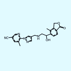 Cc1cc(C#N)cnc1-n1cc(CNCC(O)c2ccc3c(c2C)COC3=O)cn1